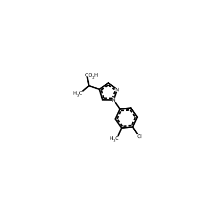 Cc1cc(-n2cc(C(C)C(=O)O)cn2)ccc1Cl